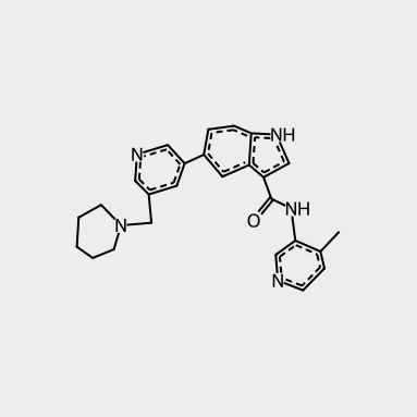 Cc1ccncc1NC(=O)c1c[nH]c2ccc(-c3cncc(CN4CCCCC4)c3)cc12